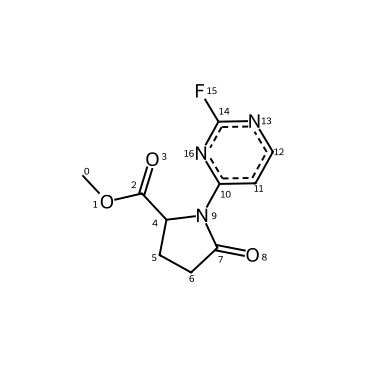 COC(=O)C1CCC(=O)N1c1ccnc(F)n1